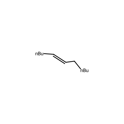 C[CH]CCC=CCCCCC